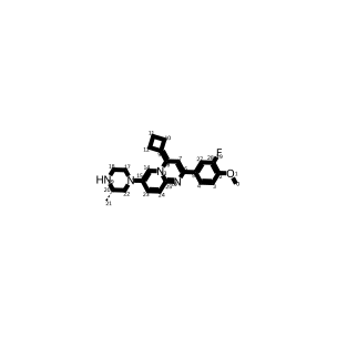 COc1ccc(C2=CC(=C3CCC3)N3C=C(N4CCN[C@@H](C)C4)C=CC3=N2)cc1F